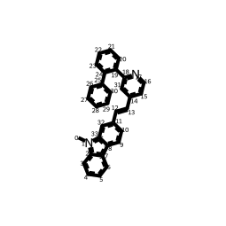 Cn1c2ccccc2c2ccc(/C=C/c3ccnc(-c4ccccc4-c4ccccc4)c3)cc21